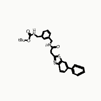 CC(C)(C)OC(=O)NCc1cccc(CNC(=O)Cc2nc3ccc(-c4ccccc4)cc3s2)c1